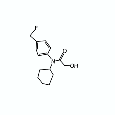 O=C(CO)N(c1ccc(CF)cc1)C1CCCCC1